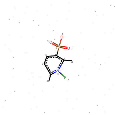 Cc1ccc(S(=O)(=O)[O-])c(C)[n+]1F